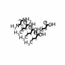 CCCC(=O)O.CCCC(=O)O.CCCC(=O)O.CCCC(=O)O.NCCN